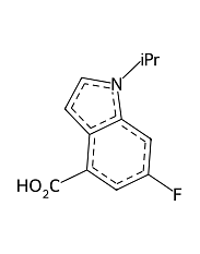 CC(C)n1ccc2c(C(=O)O)cc(F)cc21